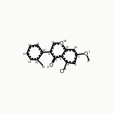 COc1cc(Cl)c2c(=O)c(-c3ccccc3C)coc2c1